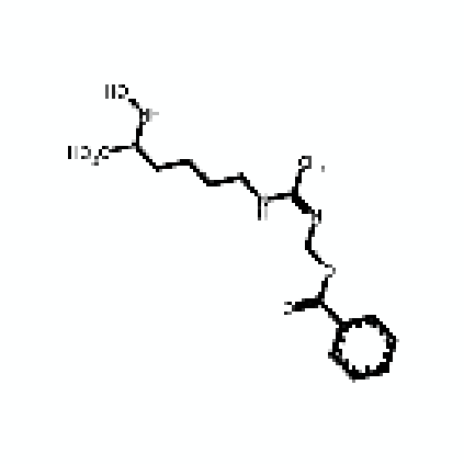 C/C(=N/COC(=O)c1ccccc1)NCCCC[C@H](NO)C(=O)O